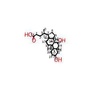 C[C@H](CCC(=O)O)[C@H]1CC[C@@H]2[C@]1(C)CC[C@@H]1[C@@]3(C)CC[C@@H](O)C[C@H]3C[C@H](O)[C@]12C